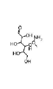 CON.O=CC(O)C(O)C(O)C(O)CO